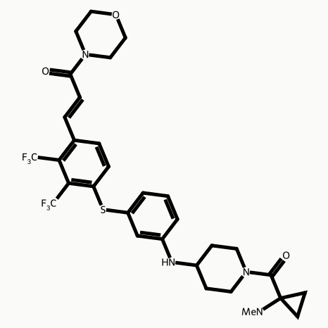 CNC1(C(=O)N2CCC(Nc3cccc(Sc4ccc(C=CC(=O)N5CCOCC5)c(C(F)(F)F)c4C(F)(F)F)c3)CC2)CC1